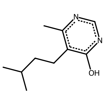 Cc1ncnc(O)c1CCC(C)C